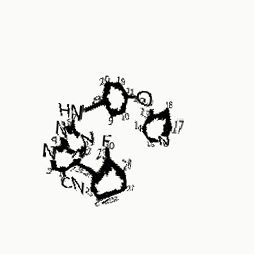 N#Cc1cnc2nc(Nc3ccc(Oc4ccncc4)cc3)nn2c1-c1ccccc1F